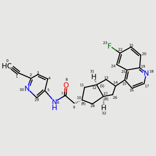 C#Cc1ccc(NC(=O)C[C@@H]2C[C@H]3CC(c4ccnc5ccc(F)cc45)C[C@H]3C2)cn1